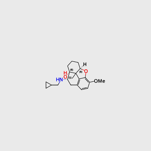 COc1ccc2c3c1O[C@@H]1CCC[C@](O)([C@@H](NCC4CC4)C2)C31C